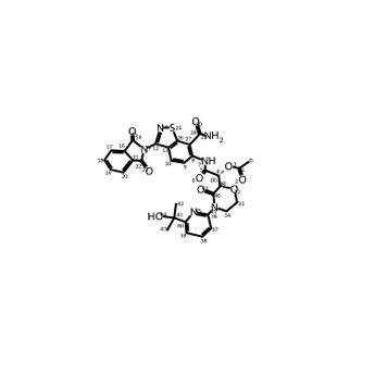 CC(=O)O[C@@H](C(=O)Nc1ccc2c(N3C(=O)c4ccccc4C3=O)nsc2c1C(N)=O)[C@H]1OCCN(c2cccc(C(C)(C)O)n2)C1=O